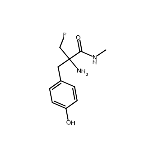 CNC(=O)C(N)(CF)Cc1ccc(O)cc1